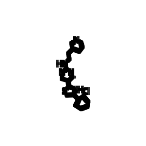 Clc1ccccc1C1=CSC(=C2[C]=NC(NCCc3cccnc3)=NC2)N1